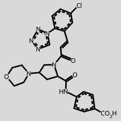 O=C(O)c1ccc(NC(=O)C2CC(N3CCOCC3)CN2C(=O)/C=C/c2cc(Cl)ccc2-n2cnnn2)cc1